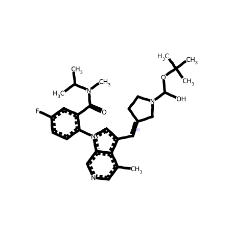 Cc1cncc2c1c(/C=C1\CCN(C(O)OC(C)(C)C)C1)cn2-c1ccc(F)cc1C(=O)N(C)C(C)C